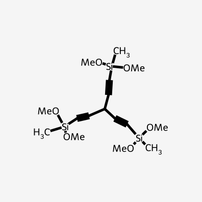 CO[Si](C)(C#CC(C#C[Si](C)(OC)OC)C#C[Si](C)(OC)OC)OC